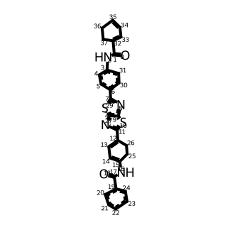 O=C(Nc1ccc(-c2nc3sc(C4=CC=C(NC(=O)c5ccccc5)CC4)nc3s2)cc1)C1=CC=CCC1